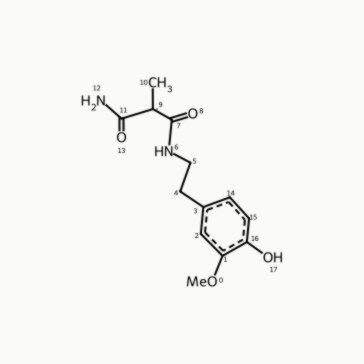 COc1cc(CCNC(=O)[C](C)C(N)=O)ccc1O